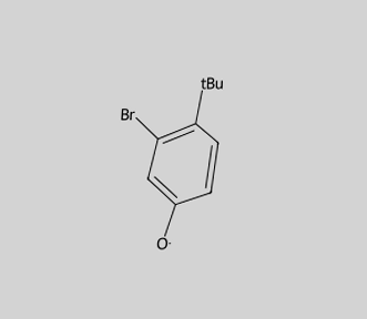 CC(C)(C)c1ccc([O])cc1Br